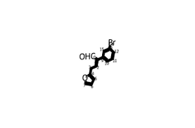 O=CC(=CCc1ccco1)c1cccc(Br)c1